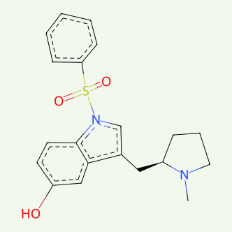 CN1CCC[C@@H]1Cc1cn(S(=O)(=O)c2ccccc2)c2ccc(O)cc12